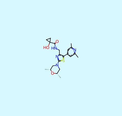 Cc1cc(-c2sc(N3C[C@@H](C)O[C@@H](C)C3)nc2CNC(=O)C2(O)CC2)cc(C)n1